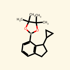 CC1(C)OB(c2cccc3c2C(C2CC2)CC3)OC1(C)C